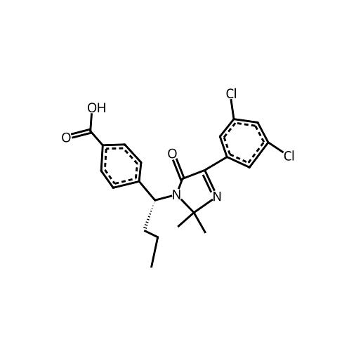 CCC[C@H](c1ccc(C(=O)O)cc1)N1C(=O)C(c2cc(Cl)cc(Cl)c2)=NC1(C)C